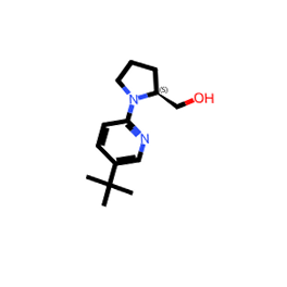 CC(C)(C)c1ccc(N2CCC[C@H]2CO)nc1